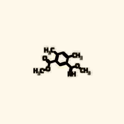 COC(=N)c1cc(C(=O)OC)c(C)cc1C